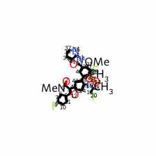 CNC(=O)c1c(-c2ccc(F)cc2)oc2cc(N(C(C)CF)S(C)(=O)=O)c(-c3cc(F)c(OC)c(-c4nc5ncccc5o4)c3)cc12